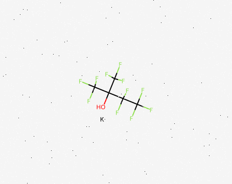 OC(C(F)(F)F)(C(F)(F)F)C(F)(F)C(F)(F)F.[K]